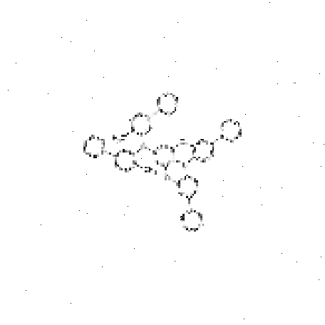 Cc1ccc(-c2ccccc2)cc1N(c1cc2c3c(c1)Oc1cc(-c4ccccc4)ccc1B3c1ccc(-c3ccccc3)cc1O2)c1cc(-c2ccccc2)ccc1C